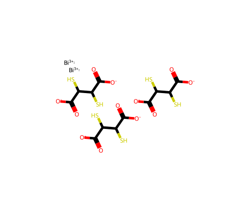 O=C([O-])C(S)C(S)C(=O)[O-].O=C([O-])C(S)C(S)C(=O)[O-].O=C([O-])C(S)C(S)C(=O)[O-].[Bi+3].[Bi+3]